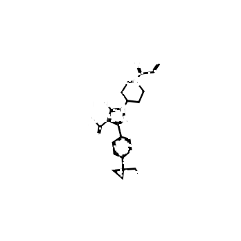 C=CC(=O)N1CCC(n2nc(-c3ccc(C4(CO)CC4)cc3)c(C(N)=O)c2N)CC1